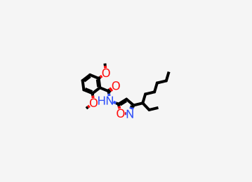 CCCCCC(CC)c1cc(NC(=O)c2c(OC)cccc2OC)on1